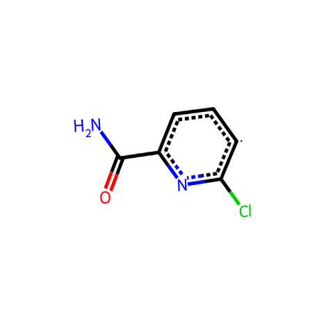 NC(=O)c1cc[c]c(Cl)n1